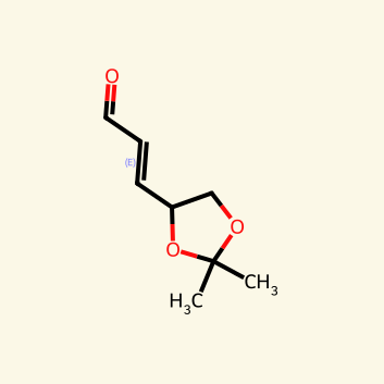 CC1(C)OCC(/C=C/C=O)O1